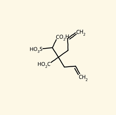 C=CCC(CC=C)(C(=O)O)C(C(=O)O)S(=O)(=O)O